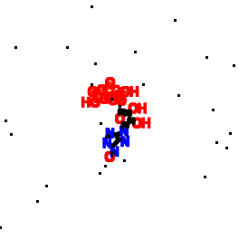 O=Nc1ncnc2c1ncn2[C@@H]1O[C@H](COP(=O)(O)OP(=O)(O)OP(=O)(O)O)[C@@H](O)[C@H]1O